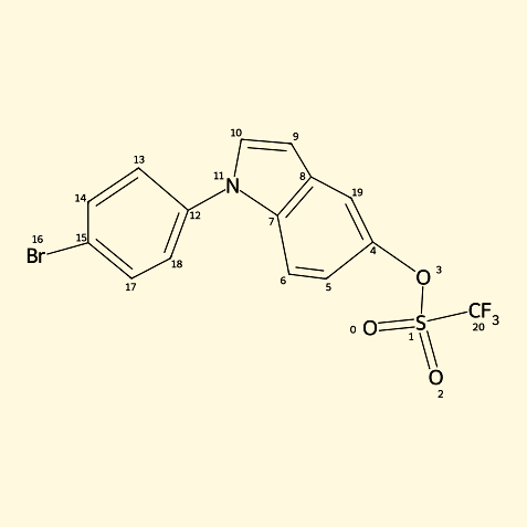 O=S(=O)(Oc1ccc2c(ccn2-c2ccc(Br)cc2)c1)C(F)(F)F